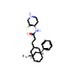 C[C@@]12CCC[C@@](c3ccccc3)(CC(CCC(=O)N[C@H]3CCNC[C@@H]3F)C1)C2